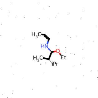 C/C=C\N[C@@H](OCC)[C@@H](C)C(C)C